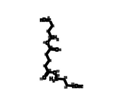 CCCCCCCCCCCC[SiH2]OC(=O)CCCC(=O)O[SiH2]CCCCCCCCCCCC